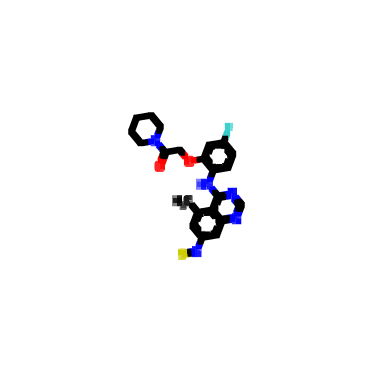 Cc1cc(N=S)cc2ncnc(Nc3ccc(F)cc3OCC(=O)N3CCCCC3)c12